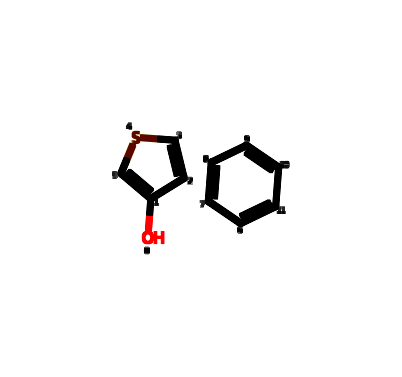 Oc1ccsc1.c1ccccc1